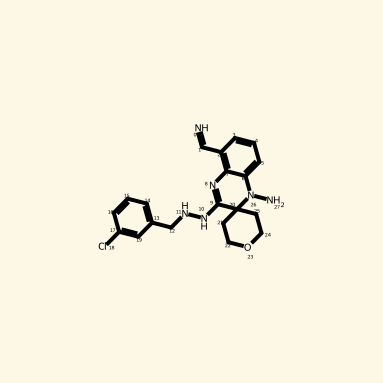 N=Cc1cccc2c1N=C(NNCc1cccc(Cl)c1)C1(CCOCC1)N2N